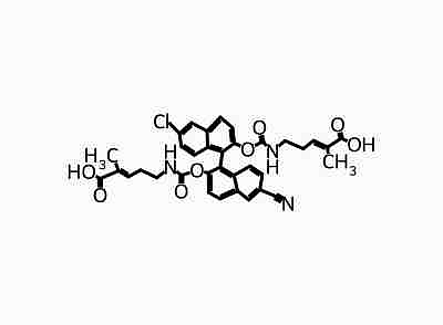 C/C(=C\CCNC(=O)Oc1ccc2cc(Cl)ccc2c1-c1c(OC(=O)NCC/C=C(\C)C(=O)O)ccc2cc(C#N)ccc12)C(=O)O